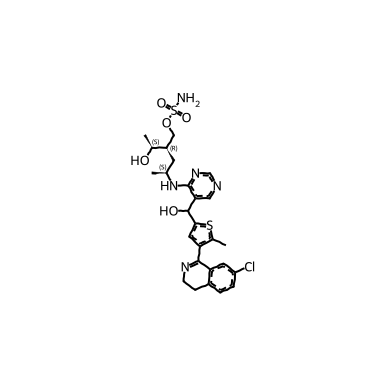 Cc1sc(C(O)c2cncnc2N[C@@H](C)C[C@H](COS(N)(=O)=O)[C@H](C)O)cc1C1=NCCc2ccc(Cl)cc21